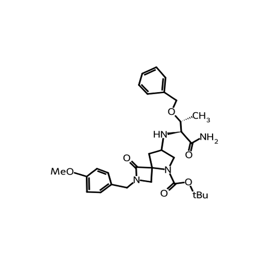 COc1ccc(CN2CC3(CC(N[C@H](C(N)=O)[C@@H](C)OCc4ccccc4)CN3C(=O)OC(C)(C)C)C2=O)cc1